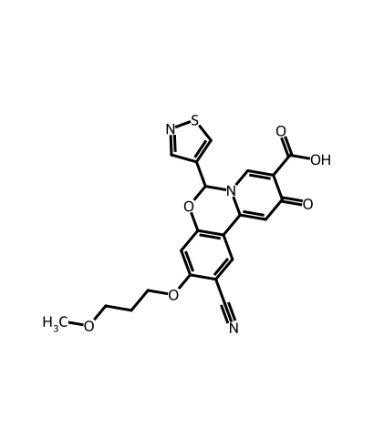 COCCCOc1cc2c(cc1C#N)-c1cc(=O)c(C(=O)O)cn1C(c1cnsc1)O2